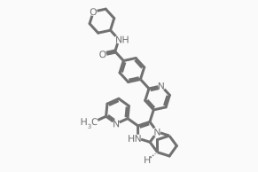 Cc1cccc(C2=C(c3ccnc(-c4ccc(C(=O)NC5CCOCC5)cc4)c3)N3C4CC[C@H](C4)C3N2)n1